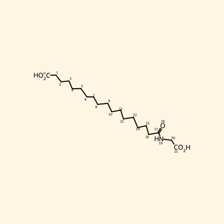 O=C(O)CCCCCCCCCCCCCCCCC(=O)NCC(=O)O